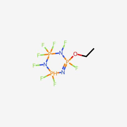 CCOP1(F)=N[PH](F)(F)N(F)P(F)(F)(F)N1F